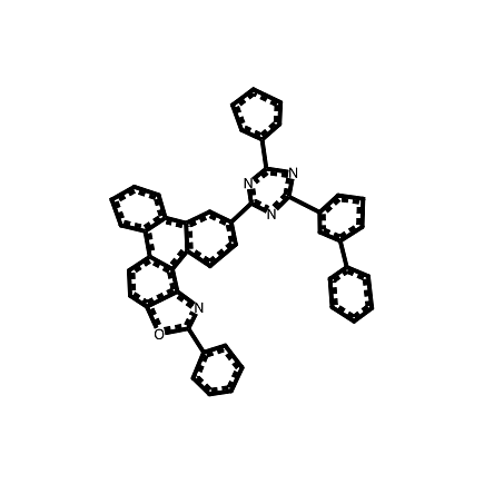 c1ccc(-c2cccc(-c3nc(-c4ccccc4)nc(-c4ccc5c(c4)c4ccccc4c4ccc6oc(-c7ccccc7)nc6c45)n3)c2)cc1